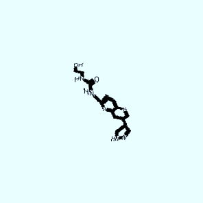 O=C(NCCO)Nc1ccc2ncc(-c3cn[nH]c3)cc2n1